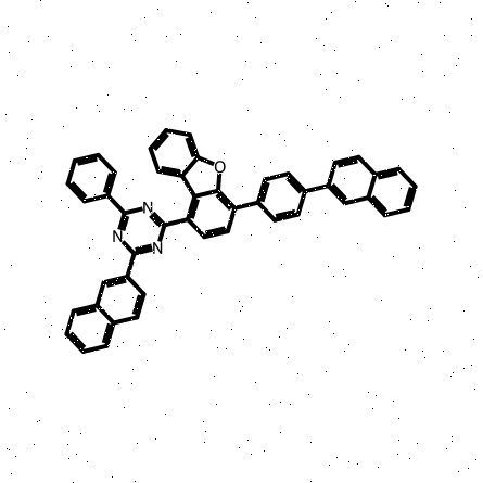 c1ccc(-c2nc(-c3ccc4ccccc4c3)nc(-c3ccc(-c4ccc(-c5ccc6ccccc6c5)cc4)c4oc5ccccc5c34)n2)cc1